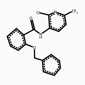 O=C(Nc1ccc(C(F)(F)F)nc1Cl)c1ccccc1OCc1ccccc1